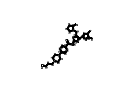 Cc1cc(-c2nc(NC(=O)c3cnc(N4CCN(CCC=O)CC4)cn3)sc2CN2CCCC2C)sc1C